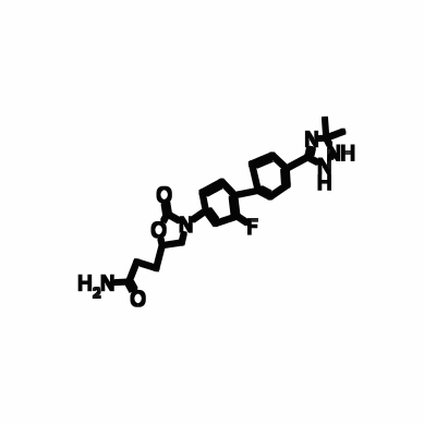 CC1(C)N=C(c2ccc(-c3ccc(N4CC(CCC(N)=O)OC4=O)cc3F)cc2)NN1